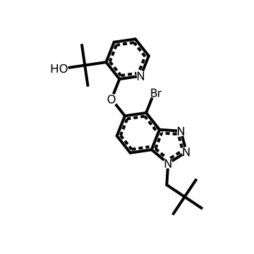 CC(C)(C)Cn1nnc2c(Br)c(Oc3ncccc3C(C)(C)O)ccc21